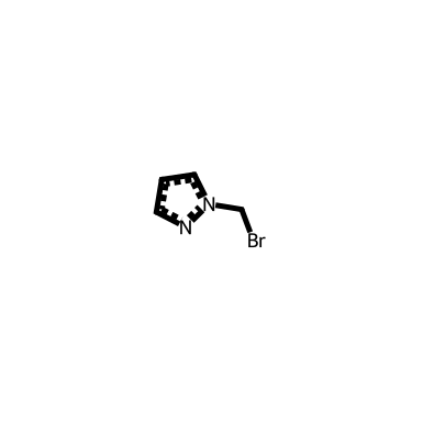 BrCn1cccn1